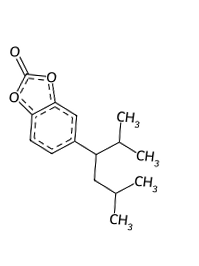 CC(C)CC(c1ccc2oc(=O)oc2c1)C(C)C